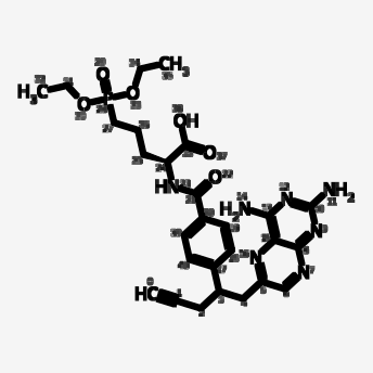 C#CCC(Cc1cnc2nc(N)nc(N)c2n1)c1ccc(C(=O)N[C@@H](CCCP(=O)(OCC)OCC)C(=O)O)cc1